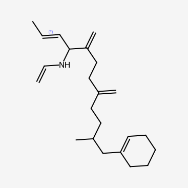 C=CNC(/C=C/C)C(=C)CCC(=C)CCC(C)CC1=CCCCC1